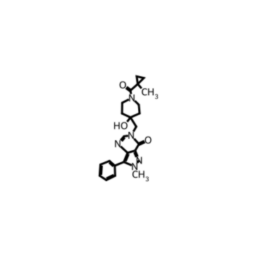 Cn1nc2c(=O)n(CC3(O)CCN(C(=O)C4(C)CC4)CC3)cnc2c1-c1ccccc1